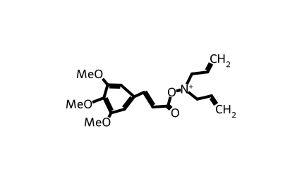 C=CC[N+](CC=C)OC(=O)C=Cc1cc(OC)c(OC)c(OC)c1